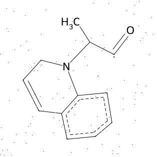 CC([C]=O)N1CC=Cc2ccccc21